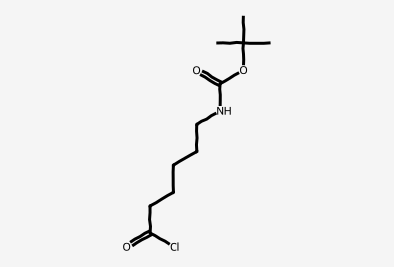 CC(C)(C)OC(=O)NCCCCCC(=O)Cl